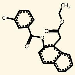 CCOC(=O)Cc1c(OC(=O)c2cccc(Cl)c2)ccc2ccccc12